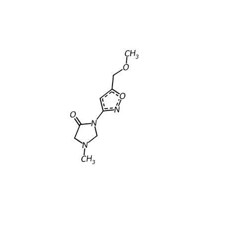 COCc1cc(N2CN(C)CC2=O)no1